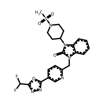 CS(=O)(=O)N1CCC(n2c(=O)n(Cc3ccc(-c4nnc(C(F)F)o4)cn3)c3ccccc32)CC1